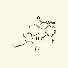 COC(=O)C1(c2cccc(F)c2C)CCc2nn(CC(F)(F)F)c(C3CC3)c2C1